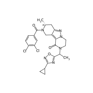 CC(c1nc(C2CC2)no1)N1CCn2nc3c(c2C1=O)CN(C(=O)c1ccc(Cl)c(Cl)c1)[C@H](C)C3